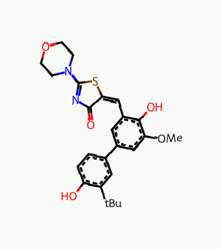 COc1cc(-c2ccc(O)c(C(C)(C)C)c2)cc(/C=C2/SC(N3CCOCC3)=NC2=O)c1O